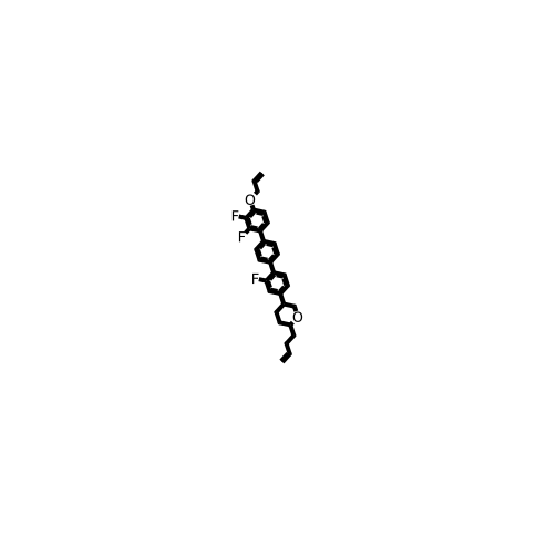 C=CCCC1CCC(c2ccc(-c3ccc(-c4ccc(OCC=C)c(F)c4F)cc3)c(F)c2)CO1